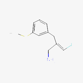 CSc1cccc(C/C(=C\F)CN)c1